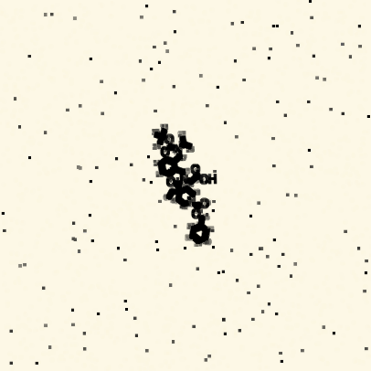 CCC1(C(=O)N(CC(=O)O)Cc2ccccc2CN(C(=O)OC(C)(C)C)C(C)C)CCN(C(=O)OCc2ccccc2)CC1